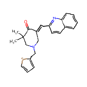 CC1(C)CN(Cc2cccs2)C/C(=C\c2ccc3ccccc3n2)C1=O